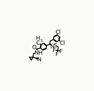 Cc1cc(/C(Cc2cc(Cl)cc(Cl)c2)=N/SCC(F)(F)F)ccc1C(=O)NCC1(C#N)CC1